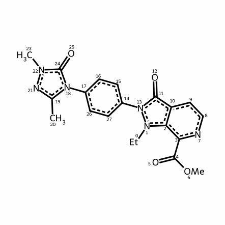 CCn1c2c(C(=O)OC)nccc2c(=O)n1-c1ccc(-n2c(C)nn(C)c2=O)cc1